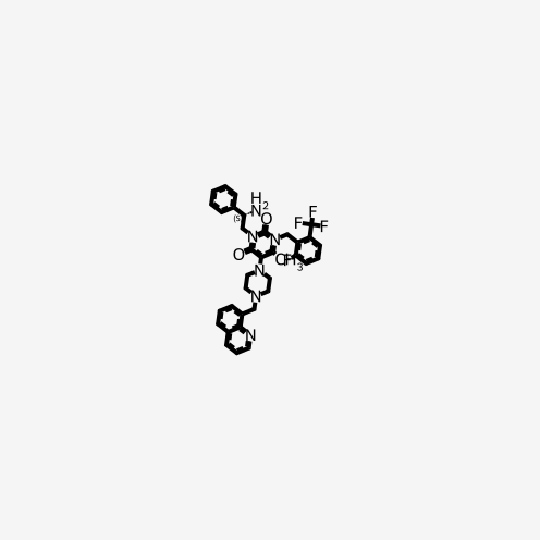 Cc1c(N2CCN(Cc3cccc4cccnc34)CC2)c(=O)n(C[C@@H](N)c2ccccc2)c(=O)n1Cc1c(F)cccc1C(F)(F)F